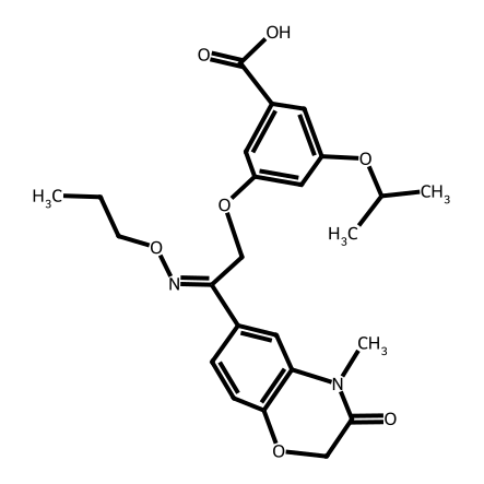 CCCON=C(COc1cc(OC(C)C)cc(C(=O)O)c1)c1ccc2c(c1)N(C)C(=O)CO2